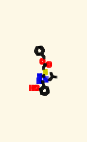 CC(C)Cn1c(SCC(=O)OCc2ccccc2)nnc1-c1ccccc1O